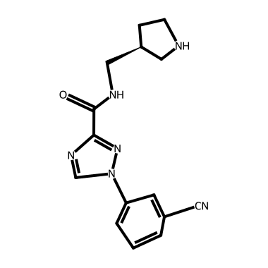 N#Cc1cccc(-n2cnc(C(=O)NC[C@H]3CCNC3)n2)c1